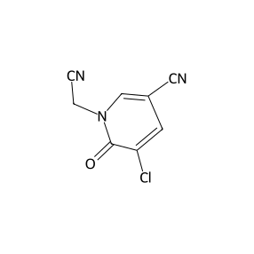 N#CCn1cc(C#N)cc(Cl)c1=O